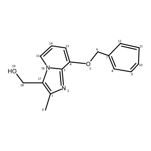 Cc1nc2c(OCc3ccccc3)cccn2c1CO